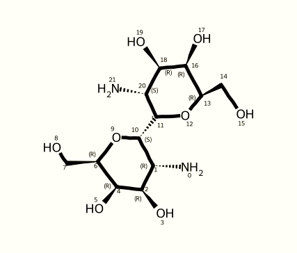 N[C@@H]1[C@@H](O)[C@@H](O)[C@@H](CO)O[C@@H]1[C]1O[C@H](CO)[C@H](O)[C@H](O)[C@H]1N